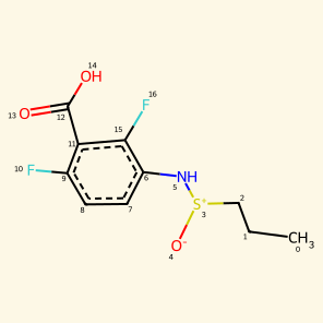 CCC[S+]([O-])Nc1ccc(F)c(C(=O)O)c1F